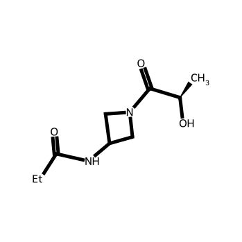 CCC(=O)NC1CN(C(=O)[C@@H](C)O)C1